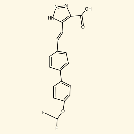 O=C(O)c1nn[nH]c1C=Cc1ccc(-c2ccc(OC(F)F)cc2)cc1